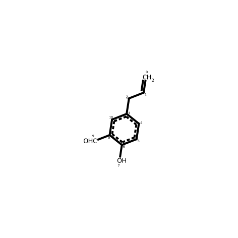 C=C[CH]c1ccc(O)c(C=O)c1